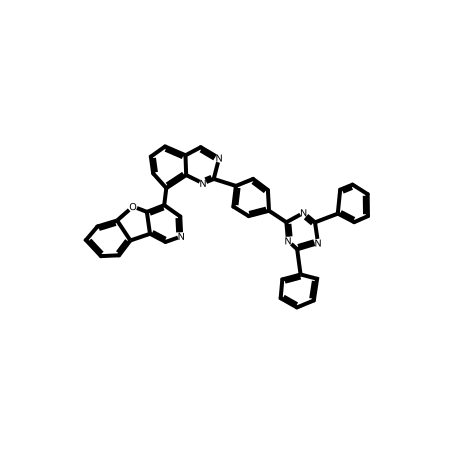 c1ccc(-c2nc(-c3ccccc3)nc(-c3ccc(-c4ncc5cccc(-c6cncc7c6oc6ccccc67)c5n4)cc3)n2)cc1